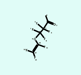 CC(=O)C(F)(F)C(F)(F)OC(F)=C(F)F